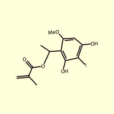 C=C(C)C(=O)OC(C)c1c(OC)cc(O)c(I)c1O